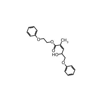 CC(=CC(O)COc1ccccc1)C(=O)OCCOc1ccccc1